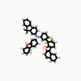 CC1(C)c2ccccc2-c2ccc(N(c3ccc4c(c3)oc3ccccc34)c3ccc4sc5ccc6c(oc7ccc8ccccc8c76)c5c4c3)cc21